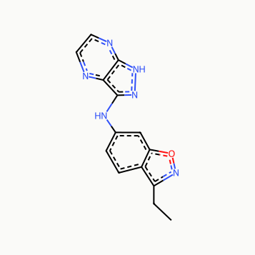 CCc1noc2cc(Nc3n[nH]c4nccnc34)ccc12